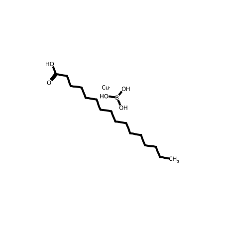 CCCCCCCCCCCCCCCC(=O)O.OB(O)O.[Cu]